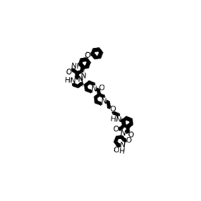 NC(=O)c1c(-c2ccc(Oc3ccccc3)cc2)nn2c1NCC[C@H]2C1CCN(C(=O)C2CCCN(CCOCCNc3cccc4c3C(=O)N(C3CCC(=O)NC3=O)C4=O)C2)CC1